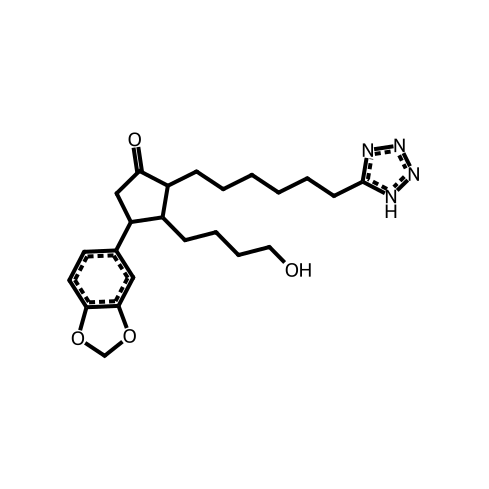 O=C1CC(c2ccc3c(c2)OCO3)C(CCCCO)C1CCCCCCc1nnn[nH]1